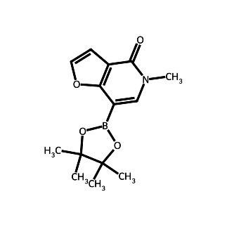 Cn1cc(B2OC(C)(C)C(C)(C)O2)c2occc2c1=O